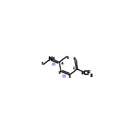 C=C(/C=C\C(C)=N/C)C(F)(F)F